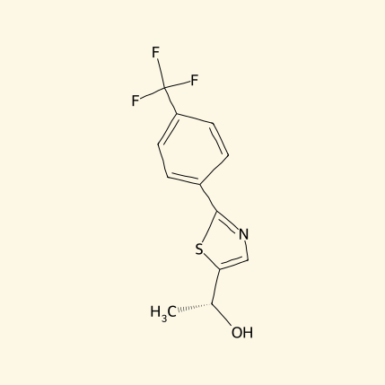 C[C@@H](O)c1cnc(-c2ccc(C(F)(F)F)cc2)s1